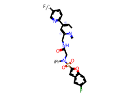 C=N/C(=C\C(=C/C)c1ccc(C(F)(F)F)cn1)CNC(=O)CN(C(C)C)S(=O)(=O)c1cc2cc(F)ccc2o1